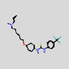 C=CCN(C)CCCCCCO[C@H]1CC[C@H](N(C)C(=S)Nc2ccc(C(F)(F)F)cc2)CC1